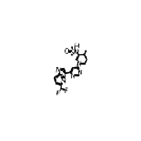 CC1CCN(c2cc(-c3cnc4ccc(C(F)F)nn34)ncn2)CC1N[SH](C)(C)=O